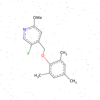 COc1cc(COc2c(C)cc(C)cc2C)c(F)cn1